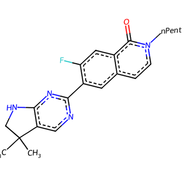 CCCCCn1ccc2cc(-c3ncc4c(n3)NCC4(C)C)c(F)cc2c1=O